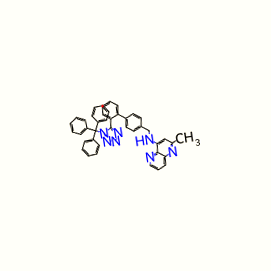 Cc1cc(NCc2ccc(-c3ccccc3-c3nnnn3C(c3ccccc3)(c3ccccc3)c3ccccc3)cc2)c2ncccc2n1